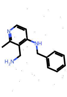 Cc1nccc(NCc2ccccc2)c1CN